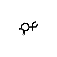 CCC(C)(CC)N1CCCNC(=O)C1